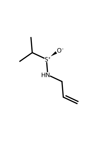 C=CCN[S@+]([O-])C(C)C